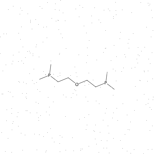 CP(C)CCOCCP(C)C